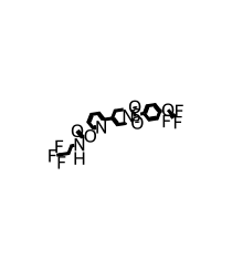 O=C(NCCC(F)(F)F)Oc1cccc(C2=CCN(S(=O)(=O)c3ccc(OC(F)(F)F)cc3)CC2)n1